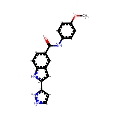 COc1ccc(NC(=O)c2ccc3[nH]c(-c4cc[nH]n4)cc3c2)cc1